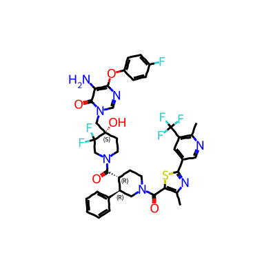 Cc1ncc(-c2nc(C)c(C(=O)N3CC[C@@H](C(=O)N4CC[C@](O)(Cn5cnc(Oc6ccc(F)cc6)c(N)c5=O)C(F)(F)C4)[C@H](c4ccccc4)C3)s2)cc1C(F)(F)F